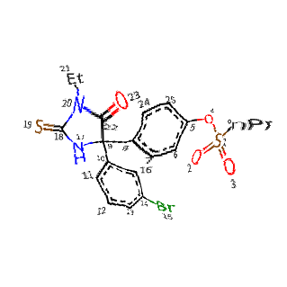 CCCS(=O)(=O)Oc1ccc(C2(c3cccc(Br)c3)NC(=S)N(CC)C2=O)cc1